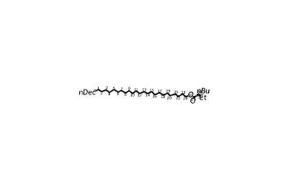 CCCCCCCCCCCCCCCCCCCCCCCCCCCCCCCCCCOC(=O)C(CC)CCCC